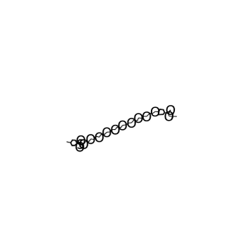 Cc1ccc(S(=O)(=O)OCCOCCOCCOCCOCCOCCOCCOCCOCCOc2ccc(C(=O)OC(C)(C)C)cc2)cc1